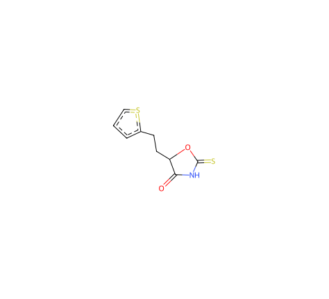 O=C1NC(=S)OC1CCc1cccs1